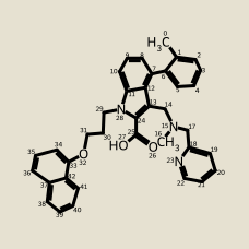 Cc1ccccc1-c1cccc2c1c(CN(C)Cc1ccccn1)c(C(=O)O)n2CCCOc1cccc2ccccc12